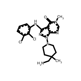 Cn1cnc2c(c(Nc3cccc(Cl)c3Cl)nn2N2CCC(C)(CN)CC2)c1=O